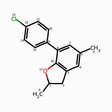 [CH2]C1Cc2cc(C)cc(-c3ccc(Cl)cc3)c2O1